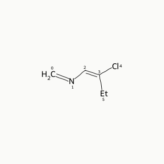 C=N/C=C(/Cl)CC